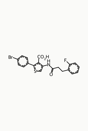 O=C(CCc1ccccc1F)Nc1csc(-c2ccc(Br)cc2)c1C(=O)O